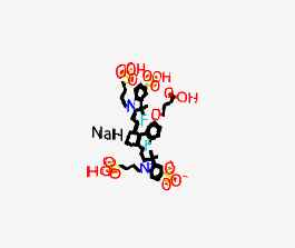 CC1(C)C(=CC=C2CCCC(C=CC3=[N+](CCCCS(=O)(=O)O)c4ccc(S(=O)(=O)[O-])cc4C3(C)C)=C2c2c(F)ccc(OCCCC(=O)O)c2F)N(CCCCS(=O)(=O)O)c2ccc(S(=O)(=O)O)cc21.[NaH]